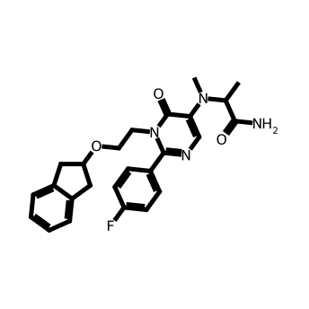 CC(C(N)=O)N(C)c1cnc(-c2ccc(F)cc2)n(CCOC2Cc3ccccc3C2)c1=O